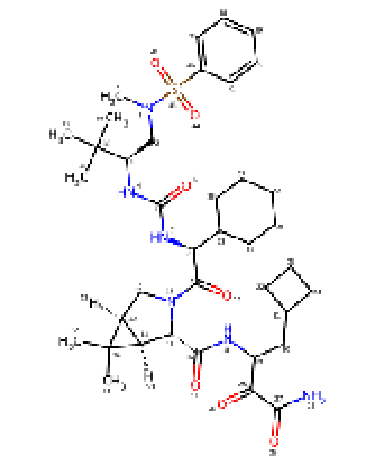 CN(C[C@@H](NC(=O)N[C@H](C(=O)N1C[C@H]2[C@@H]([C@H]1C(=O)NC(CC1CCC1)C(=O)C(N)=O)C2(C)C)C1CCCCC1)C(C)(C)C)S(=O)(=O)c1ccccc1